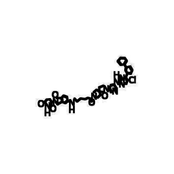 O=C1CCC(N2Cc3cc(NCCCCCC(=O)N4CCC5(CC4)CCN(c4cncc(Nc6ncc(Cl)c(-c7cccc(-c8ccccc8)c7)n6)c4)C5=O)ccc3C2=O)C(=O)N1